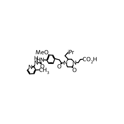 COc1cc(CC(=O)N2CC(=O)N(CCC(=O)O)CC2CC(C)C)ccc1NC(=O)Nc1ncccc1C